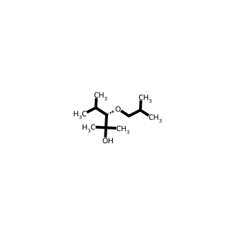 CC(C)CO[C@@H](C(C)C)C(C)(C)O